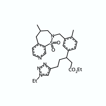 CCOC(=O)CC(CCc1cn(CC)nn1)c1ccc(C)c(CN2CC(C)Cc3ccncc3S2(=O)=O)c1